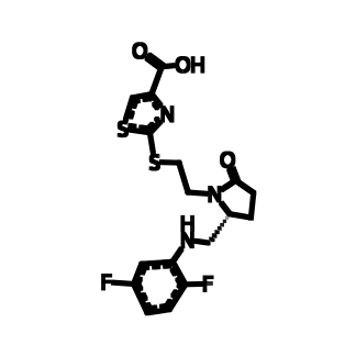 O=C(O)c1csc(SCCN2C(=O)CC[C@@H]2CNc2cc(F)ccc2F)n1